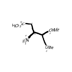 COC(OC)C(N)CC(=O)O